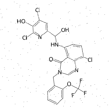 O=c1c2c(NC(O)c3cc(Cl)c(O)c(Cl)n3)ccc(Cl)c2ncn1Cc1ccccc1OC(F)(F)F